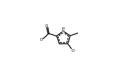 Cc1[nH]c(C(=O)Cl)cc1Cl